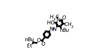 CCCCc1c(/N=N/c2ccc(C(=O)OCC(CC)CCCC)cc2)c(O)n(C)c(=O)c1C